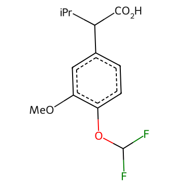 COc1cc(C(C(=O)O)C(C)C)ccc1OC(F)F